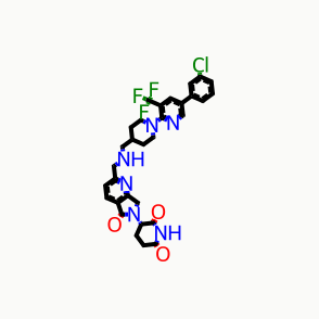 O=C1CCC(N2Cc3nc(CNCC4CCN(c5ncc(-c6cccc(Cl)c6)cc5C(F)(F)F)CC4)ccc3C2=O)C(=O)N1